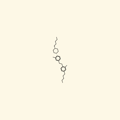 CCCCCc1ccc(CCc2ccc([C@H]3CC[C@H](CCCCC)CC3)c(C)c2)c(C)c1